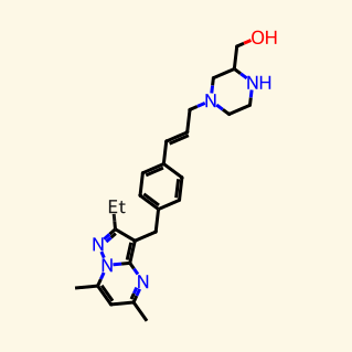 CCc1nn2c(C)cc(C)nc2c1Cc1ccc(/C=C/CN2CCNC(CO)C2)cc1